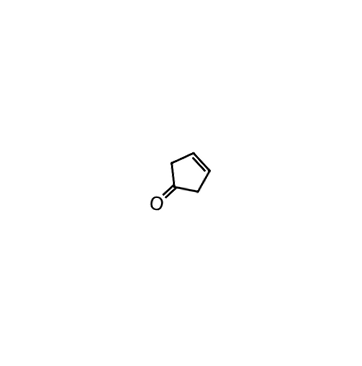 O=C1CC=CC1